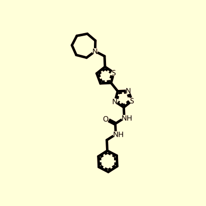 O=C(NCc1ccccc1)Nc1nc(-c2ccc(CN3CCCCCC3)s2)ns1